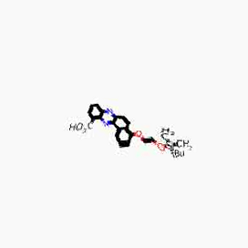 CC(C)(C)[Si](C)(C)OCCOc1cccc2c1ccc1nc3cccc(C(=O)O)c3nc12